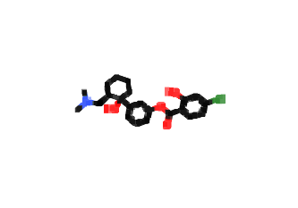 CN(C)C[C@H]1CCCC[C@]1(O)c1cccc(OC(=O)c2ccc(Cl)cc2O)c1